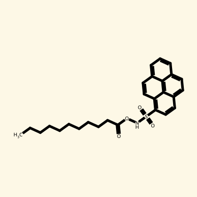 CCCCCCCCCCC(=O)ONS(=O)(=O)c1ccc2ccc3cccc4ccc1c2c34